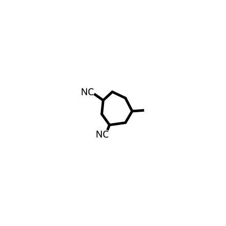 CC1CCC(C#N)CC(C#N)C1